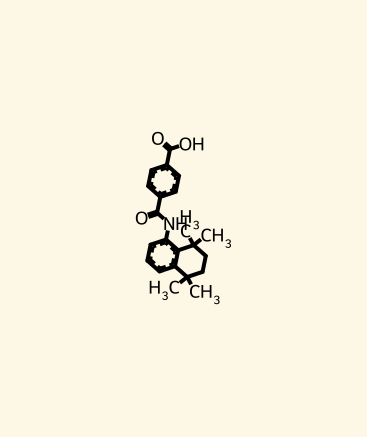 CC1(C)CCC(C)(C)c2c(NC(=O)c3ccc(C(=O)O)cc3)cccc21